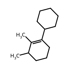 CC1=C(C2CCCCC2)CCCC1C